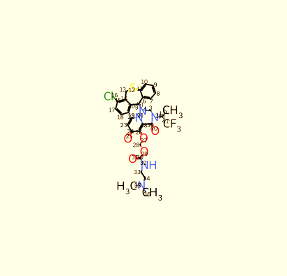 C[C@@H](N1CN([C@@H]2c3ccccc3SCc3c(Cl)cccc32)n2ccc(=O)c(OCOC(=O)NCCN(C)C)c2C1=O)C(F)(F)F